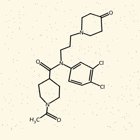 CC(=O)N1CCC(C(=O)N(CCCN2CCC(=O)CC2)c2ccc(Cl)c(Cl)c2)CC1